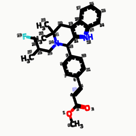 COC(=O)/C=C/c1ccc(C2c3[nH]c4ccccc4c3CC(C)(C)N2CC(C)CF)cc1